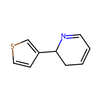 C1=CCC(c2ccsc2)N=C1